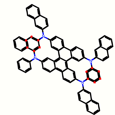 c1ccc(N(c2ccccc2)c2ccc3c4ccc(N(c5ccccc5)c5ccc6ccccc6c5)cc4c4c5cc(N(c6ccccc6)c6ccc7ccccc7c6)ccc5c5ccc(N(c6ccc7ccccc7c6)c6ccc7ccccc7c6)cc5c4c3c2)cc1